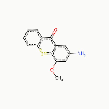 COc1cc(N)cc2c(=O)c3ccccc3sc12